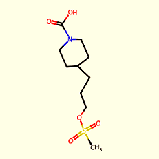 CS(=O)(=O)OCCCC1CCN(C(=O)O)CC1